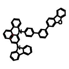 c1ccc(-c2ccccc2N(c2ccc(-c3cccc(-c4ccc5c(c4)oc4ccccc45)c3)cc2)c2cccc(-n3c4ccccc4c4ccccc43)c2)cc1